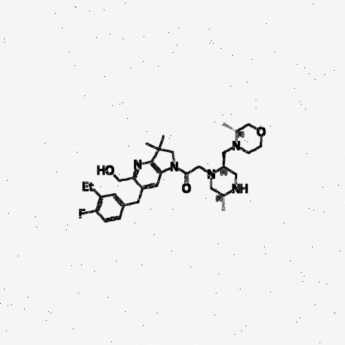 CCc1cc(Cc2cc3c(nc2CO)C(C)(C)CN3C(=O)CN2C[C@@H](C)NC[C@@H]2CN2CCOC[C@H]2C)ccc1F